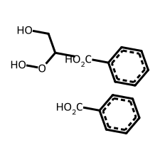 CC(CO)OO.O=C(O)c1ccccc1.O=C(O)c1ccccc1